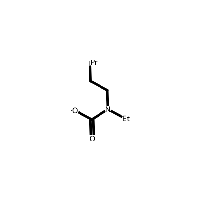 CCN(CCC(C)C)C([O])=O